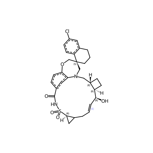 O=C1NS(=O)(=O)[C@@H]2CC2C/C=C/[C@H](O)[C@@H]2CC[C@H]2CN2C[C@@]3(CCCc4cc(Cl)ccc43)COc3ccc1cc32